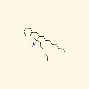 CCCCCCCCC(Cc1ccccc1)C(C)(N)CCCCCC